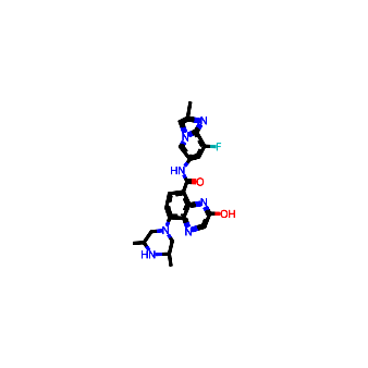 Cc1cn2cc(NC(=O)c3ccc(N4CC(C)NC(C)C4)c4ncc(O)nc34)cc(F)c2n1